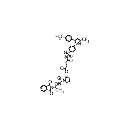 Cc1ccc(-c2cc(C(F)(F)F)nn2-c2ccc(S(=O)(=O)NC(=O)CCC(=O)OC[C@@H]3CCCN3[N+]([O-])=NOC(C)N3C(=O)c4ccccc4C3=O)cc2)cc1